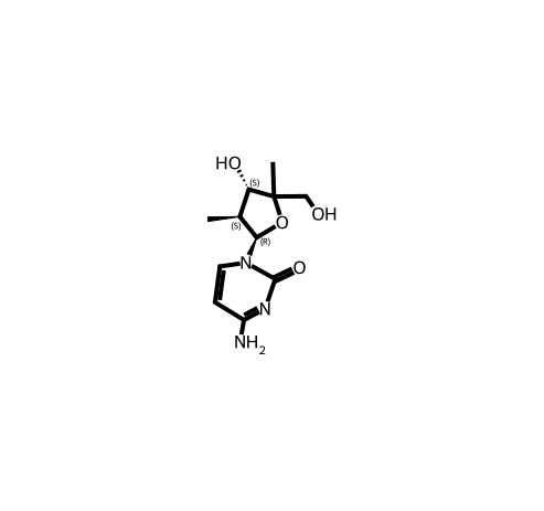 C[C@@H]1[C@H](n2ccc(N)nc2=O)OC(C)(CO)[C@H]1O